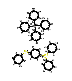 c1ccc(Sc2ccc([S+](c3ccccc3)c3ccccc3)cc2)cc1.c1ccc([B-](c2ccccc2)(c2ccccc2)c2ccccc2)cc1